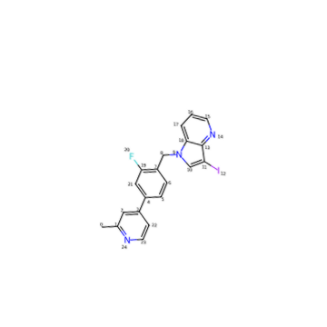 Cc1cc(-c2ccc(Cn3cc(I)c4ncccc43)c(F)c2)ccn1